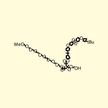 COCCOCCOCCOCCOCCOCCOCCOCCOCCOC(=O)C(C)(C)CC(C)(CC(C)(C)C(=O)Oc1ccc(C(C)(C)c2ccc(Oc3ccc(S(=O)(=O)c4ccc(Oc5ccc(C(C)(C)C)cc5)cc4)cc3)cc2)cc1)C(=O)OCCO